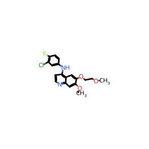 COCCOc1cc2c(Nc3ccc(F)c(Cl)c3)ccnc2cc1OC